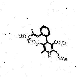 CCOC(=O)C(C)=Cc1ccccc1C1C(C(=O)OCC)=C(C)NC(CNC)=C1C(=O)OCC